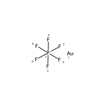 F[P-](F)(F)(F)(F)F.[Au]